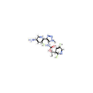 C[C@@H](OC(=O)Nc1c(-c2ncc(N)cc2F)nnn1C)c1cc(F)cnc1F